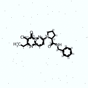 CCc1nc2ccc(N3CCCC3C(=O)NCc3ccccc3)nn2c(=O)c1Cl